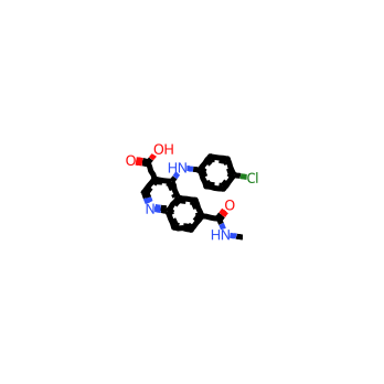 CNC(=O)c1ccc2ncc(C(=O)O)c(Nc3ccc(Cl)cc3)c2c1